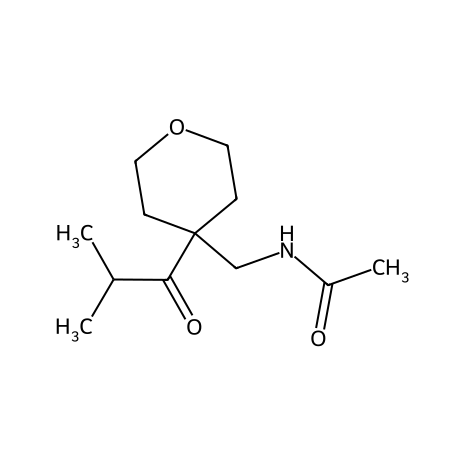 CC(=O)NCC1(C(=O)C(C)C)CCOCC1